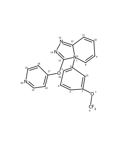 FC(F)(F)Oc1cccc([N+]23C=CC=CC2=NN=C3Oc2ccncc2)c1